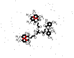 CCC(COC(=O)CCP(C(=O)c1c(C)cc(C)cc1C)C(=O)c1c(C)cc(C)cc1C)(COC(=O)CCP(C(=O)c1c(C)cc(C)cc1C)C(=O)c1c(C)cc(C)cc1C)COC(=O)CCP(C(=O)c1c(C)cc(C)cc1C)C(=O)c1c(C)cc(C)cc1C